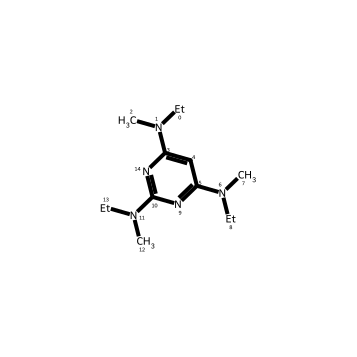 CCN(C)c1cc(N(C)CC)nc(N(C)CC)n1